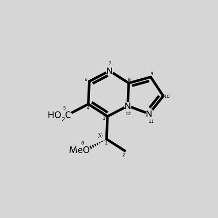 CO[C@@H](C)c1c(C(=O)O)cnc2ccnn12